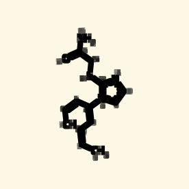 C\C=C/C=C(\C=C/C)n1ccnc1SCC(N)=O